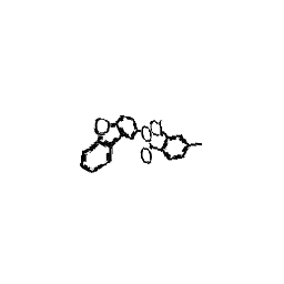 Cc1ccc(C(=O)Oc2ccc3oc4ccccc4c3c2)c(Cl)c1